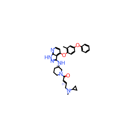 Cc1cc(Oc2ccccc2)ccc1Oc1ccnc2[nH]nc(N[C@@H]3CCCN(C(=O)/C=C/CN(C)C4CC4)C3)c12